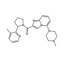 Cc1cccnc1C1CCCN1C(=O)c1cn2c(N3CCN(C)CC3)cccc2n1